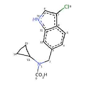 O=C(O)N(Cc1ccc2c(Cl)c[nH]c2c1)C1CC1